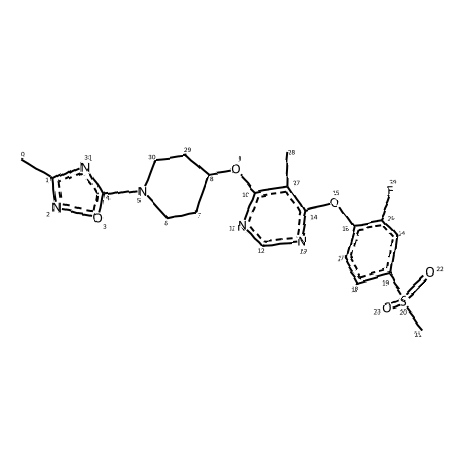 Cc1noc(N2CCC(Oc3ncnc(Oc4ccc(S(C)(=O)=O)cc4F)c3C)CC2)n1